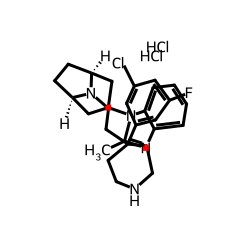 Cc1nc2ccccc2n1C1C[C@H]2CC[C@@H](C1)N2CCC1(c2cc(F)cc(Cl)c2)CCNCC1.Cl.Cl